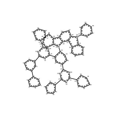 c1ccc(-c2cccc(-c3nc(-c4ccccc4)nc(-c4cc(-c5nc(-c6ccccc6)nc(-c6ccccc6)n5)ccc4-n4c5ccccc5c5ccc6c(c7ccccc7n6-c6ccccc6)c54)n3)c2)cc1